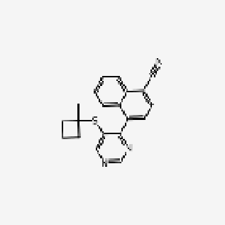 CC1(Sc2cncnc2-c2ccc(C#N)c3ccccc23)CCC1